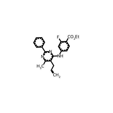 C=CCc1c(C)nc(-c2ccccc2)nc1Nc1ccc(C(=O)OCC)c(F)c1